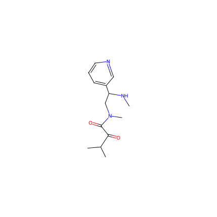 CNC(CN(C)C(=O)C(=O)C(C)C)c1cccnc1